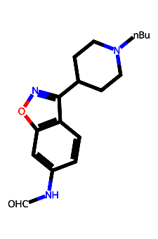 CCCCN1CCC(c2noc3cc(NC=O)ccc23)CC1